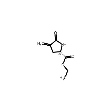 C=C1C[C@@H](C(=O)OCC)NC1=O